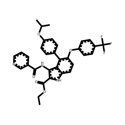 CCOC(=O)c1[nH]c2ccc(Oc3ccc(C(F)(F)F)cc3)c(-c3ccc(OC(C)C)cc3)c2c1NC(=O)c1cccnc1